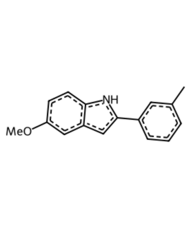 COc1ccc2[nH]c(-c3cccc(C)c3)cc2c1